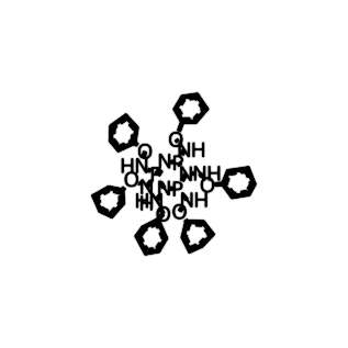 c1ccc(ONN2P(NOc3ccccc3)N=P(NOc3ccccc3)(NOc3ccccc3)N(NOc3ccccc3)P2NOc2ccccc2)cc1